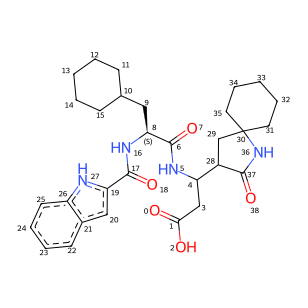 O=C(O)CC(NC(=O)[C@H](CC1CCCCC1)NC(=O)c1cc2ccccc2[nH]1)C1CC2(CCCCC2)NC1=O